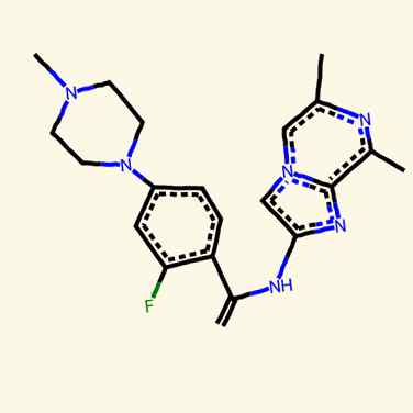 C=C(Nc1cn2cc(C)nc(C)c2n1)c1ccc(N2CCN(C)CC2)cc1F